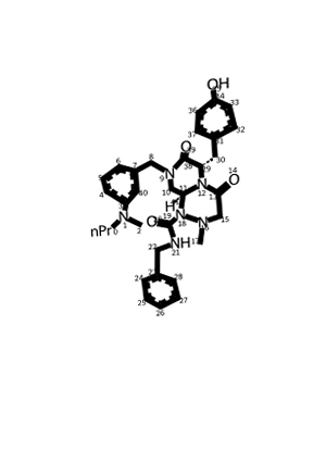 CCCN(C)c1cccc(CN2C[C@H]3N(C(=O)CN(C)N3C(=O)NCc3ccccc3)[C@@H](Cc3ccc(O)cc3)C2=O)c1